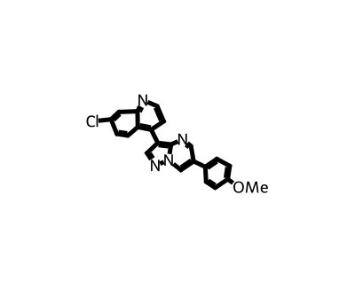 COc1ccc(-c2cnc3c(-c4ccnc5cc(Cl)ccc45)cnn3c2)cc1